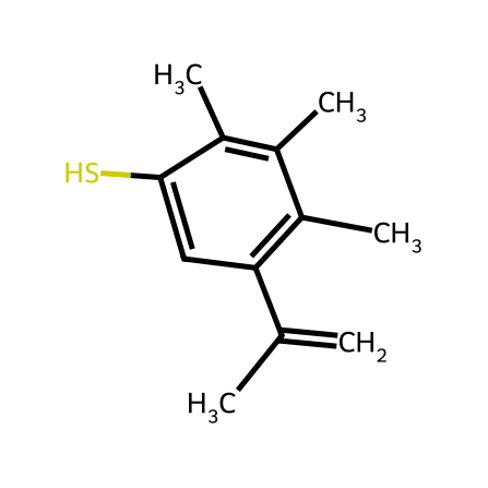 C=C(C)c1cc(S)c(C)c(C)c1C